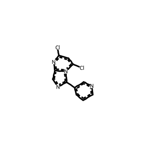 Clc1cc(Cl)n2c(-c3cccnc3)ncc2n1